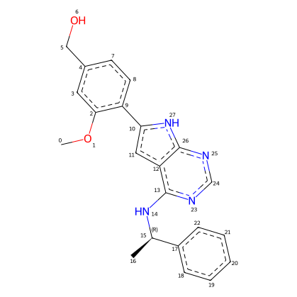 COc1cc(CO)ccc1-c1cc2c(N[C@H](C)c3ccccc3)ncnc2[nH]1